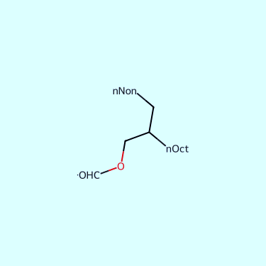 CCCCCCCCCCC(CCCCCCCC)CO[C]=O